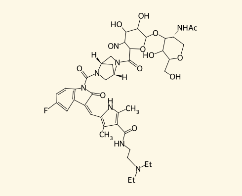 CCN(CC)CCNC(=O)c1c(C)[nH]c(/C=C2\C(=O)N(C(=O)N3C[C@@H]4C[C@H]3CN4C(=O)C3OC(OC4C(O)C(CO)OC[C@H]4NC(C)=O)C(O)C(O)C3N=O)c3ccc(F)cc32)c1C